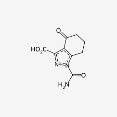 NC(=O)n1nc(C(=O)O)c2c1CCCC2=O